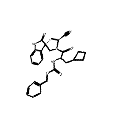 N#C[C@@H]1C[C@@]2(CN1C(=O)C(CC1CCC1)NC(=O)OCc1ccccc1)C(=O)Nc1ccccc12